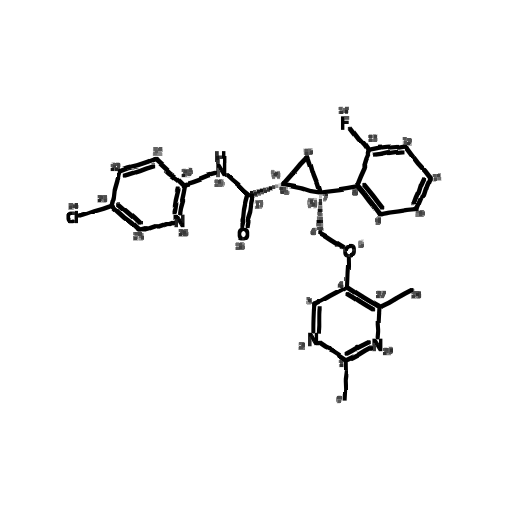 Cc1ncc(OC[C@@]2(c3ccccc3F)C[C@H]2C(=O)Nc2ccc(Cl)cn2)c(C)n1